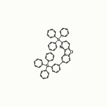 c1ccc([Si](c2ccccc2)(c2ccccc2)c2cccc(-c3ccc4oc5ccc([Si](c6ccccc6)(c6ccccc6)c6ccccc6)nc5c4c3)c2)cc1